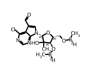 [2H]B(C)OC[C@H]1O[C@@H](n2cc(C=O)c3c(Cl)ncnc32)C(C)(O)[C@@H]1OB([2H])C